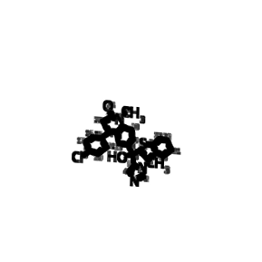 Cn1cncc1C(O)(c1ccc2c(c1)c(-c1ccc(Cl)cc1)cc(=O)n2C)c1cc2ccccc2s1